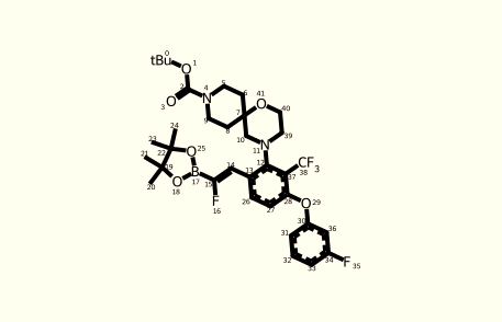 CC(C)(C)OC(=O)N1CCC2(CC1)CN(c1c(/C=C(\F)B3OC(C)(C)C(C)(C)O3)ccc(Oc3cccc(F)c3)c1C(F)(F)F)CCO2